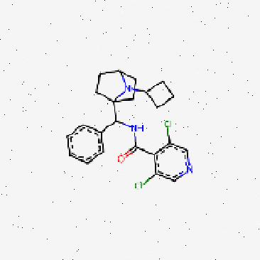 O=C(NC(c1ccccc1)C12CCC(CC1)N2C1CCC1)c1c(Cl)cncc1Cl